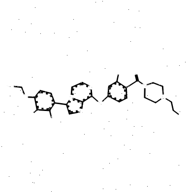 N#CCOc1ccc(-c2cnc3c(Nc4ccc(C(=O)N5CCN(CCCl)CC5)c(Cl)c4)nccn23)c(F)c1F